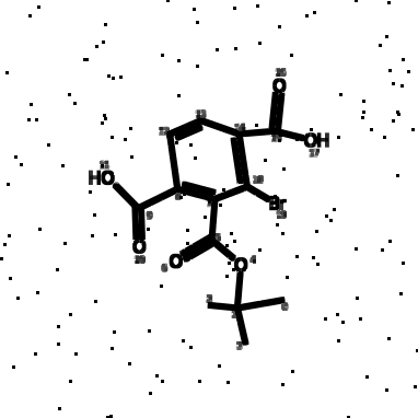 CC(C)(C)OC(=O)c1c(C(=O)O)ccc(C(=O)O)c1Br